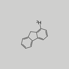 [2H]c1cccc2c1Cc1ccccc1-2